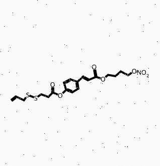 C=CCSSCCC(=O)Oc1ccc(/C=C/C(=O)OCCCCO[N+](=O)[O-])cc1